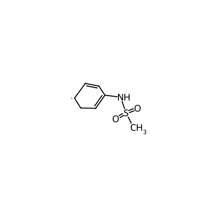 CS(=O)(=O)NC1=CC[CH]C=C1